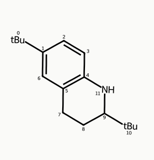 CC(C)(C)c1ccc2c(c1)CCC(C(C)(C)C)N2